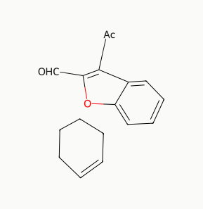 C1=CCCCC1.CC(=O)c1c(C=O)oc2ccccc12